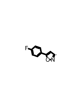 Fc1ccc(-c2c[c]no2)cc1